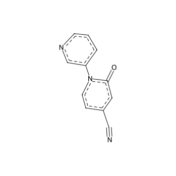 N#Cc1ccn(-c2cccnc2)c(=O)c1